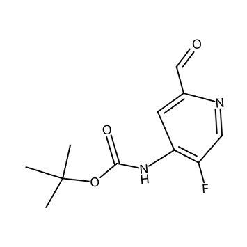 CC(C)(C)OC(=O)Nc1cc(C=O)ncc1F